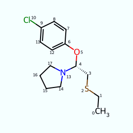 CCSC[C@@H](Oc1ccc(Cl)cc1)N1CCCC1